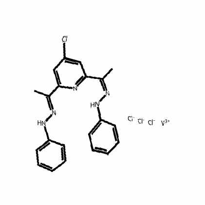 CC(=NNc1ccccc1)c1cc(Cl)cc(C(C)=NNc2ccccc2)n1.[Cl-].[Cl-].[Cl-].[V+3]